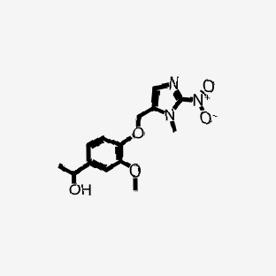 COc1cc(C(C)O)ccc1OCc1cnc([N+](=O)[O-])n1C